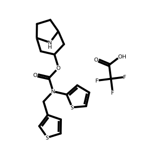 O=C(O)C(F)(F)F.O=C(OC1CC2CCC(C1)N2)N(Cc1ccsc1)c1cccs1